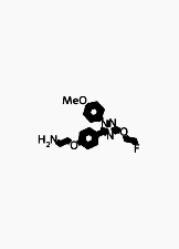 COc1ccc(-n2nc(OCCF)nc2-c2ccc(OCCN)cc2)cc1